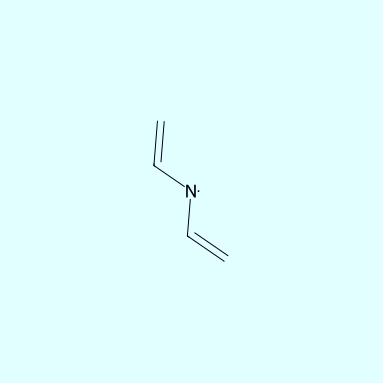 C=C[N]C=C